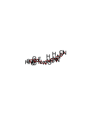 N#Cc1ccc(N2CCc3c(ncnc3Nc3ccc(C(=O)NC4CCN(CC5CCN(c6cc7c(cc6F)C(=O)N(C6CCC(=O)NC6=O)C7=O)CC5)CC4)nc3)C2)cc1Cl